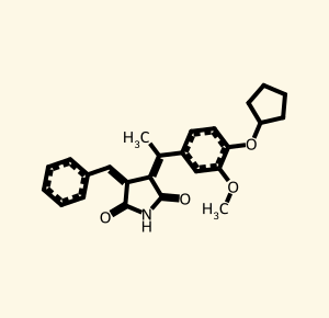 COc1cc(C(C)=C2C(=O)NC(=O)C2=Cc2ccccc2)ccc1OC1CCCC1